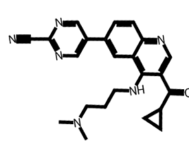 CN(C)CCCNc1c(C(=O)C2CC2)cnc2ccc(-c3cnc(C#N)nc3)cc12